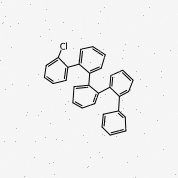 Clc1ccccc1-c1ccccc1-c1ccccc1-c1ccccc1-c1ccccc1